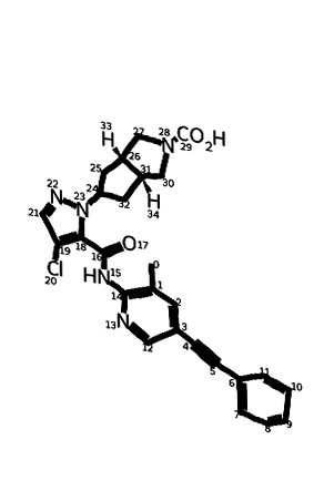 Cc1cc(C#Cc2ccccc2)cnc1NC(=O)c1c(Cl)cnn1C1C[C@@H]2CN(C(=O)O)C[C@@H]2C1